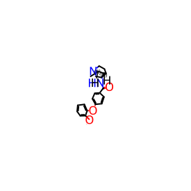 COc1ccccc1Oc1ccc(C(=O)N[C@@H]2C3CCN(CC3)[C@H]2C)cc1